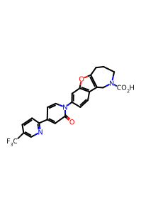 O=C(O)N1CCCc2oc3cc(-n4ccc(-c5ccc(C(F)(F)F)cn5)cc4=O)ccc3c2C1